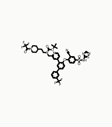 CC(C)(C)OC(=O)N(CCC1CCN(C(=O)C(F)(F)F)CC1)Cc1cc(-c2cc(-c3cccc(C(F)(F)F)c3)ccc2Oc2ccc(S(=O)(=O)Nc3ncns3)cc2C#N)ccn1